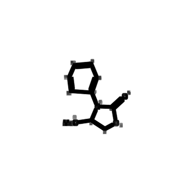 COC1COC(=O)N1c1ccccc1